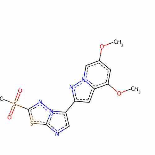 COc1cc(OC)c2cc(-c3cnc4sc(S(C)(=O)=O)nn34)nn2c1